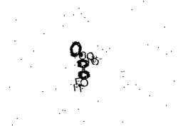 O=[N+]([O-])c1cc(-c2ccc(OC(F)(F)F)cc2)ccc1OC1CCCCCC1